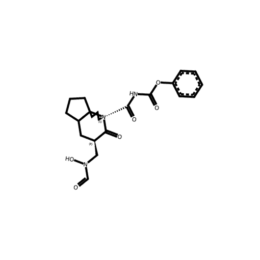 O=CN(O)C[C@H]1CC2CCCC23CC[C@@H](C(=O)NC(=O)Oc2ccccc2)N3C1=O